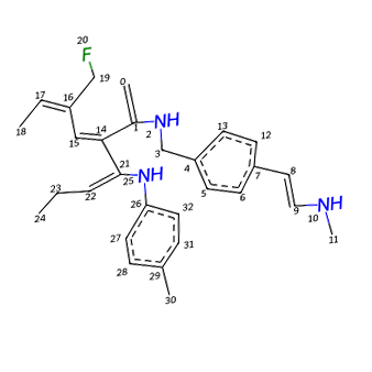 C=C(NCc1ccc(/C=C/NC)cc1)C(=C\C(=C/C)CF)/C(=C\CC)Nc1ccc(C)cc1